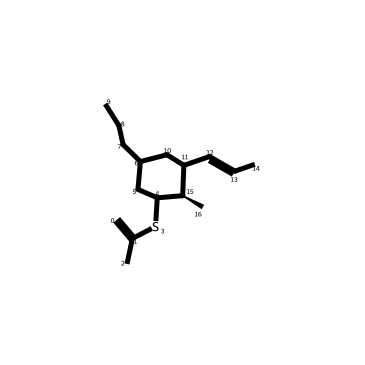 C=C(C)SC1CC(CCC)CC(/C=C/C)[C@H]1C